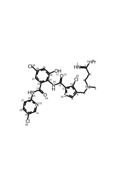 CCCC(=N)CCN(C)Cc1csc(C(=O)Nc2c(O)cc(Cl)cc2C(=O)Nc2ccc(Cl)cn2)c1Cl